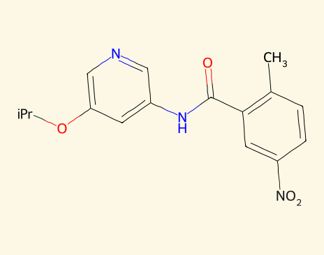 Cc1ccc([N+](=O)[O-])cc1C(=O)Nc1cncc(OC(C)C)c1